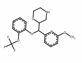 COc1cccc(C(Oc2ccccc2OC(F)(F)F)C2CNCCO2)n1